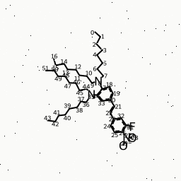 CCCCCCCCN(CCCCCCCC)c1ccc(C=Cc2ccc([N+](=O)[O-])c(F)c2)cc1N(CCCCCCCC)CCCCCCCC